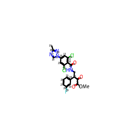 COC(=O)C(=O)C(CNC(=O)c1c(Cl)cc(-n2cnc(C)n2)cc1Cl)c1cccc(F)c1